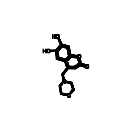 O=c1cc(CN2CCOCC2)c2cc(O)c(O)cc2o1